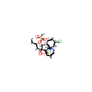 CCCCC(O)(c1cccnc1)C(OS(C)(=O)=O)c1ccc(Cl)cc1Cl